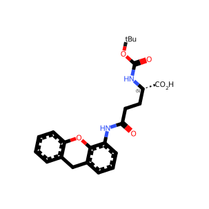 CC(C)(C)OC(=O)N[C@@H](CCC(=O)Nc1cccc2c1Oc1ccccc1C2)C(=O)O